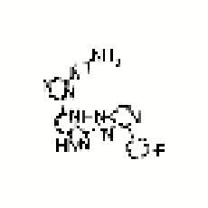 NC1CN(c2cncc(-c3ccc4[nH]nc(-c5nc6c(-c7cccc(F)c7)nccc6[nH]5)c4n3)n2)C1